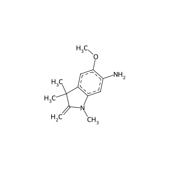 C=C1N(C)c2cc(N)c(OC)cc2C1(C)C